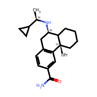 CCC[C@]12CCCCC1[C@H](N[C@H](C)C1CC1)Cc1ccc(C(N)=O)cc12